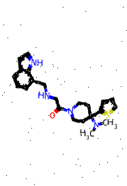 CN(C)C1(c2cccs2)CCN(C(=O)CNCc2cccc3cc[nH]c23)CC1